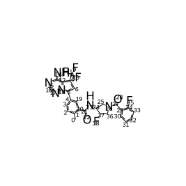 Cc1ccc(-c2cc(C(F)(F)F)c3c(N)ncnn23)cc1C(=O)N[C@@H]1CN(C(=O)c2ccccc2F)C[C@@H]1F